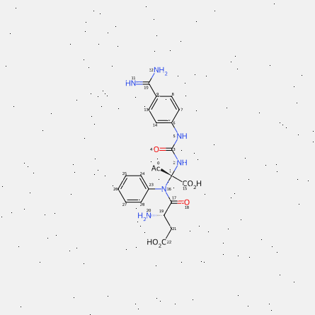 CC(=O)[C@@](NC(=O)Nc1ccc(C(=N)N)cc1)(C(=O)O)N(C(=O)[C@@H](N)CC(=O)O)c1ccccc1